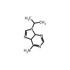 CC(C)N1C=NC2C(N)=NC=NC21